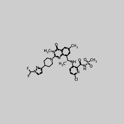 Cc1cc([C@@H](C)Nc2ccc(Cl)nc2C(=O)NS(C)(=O)=O)c2nc(N3CCC(c4ccn(C(F)F)n4)CC3)n(C)c(=O)c2c1